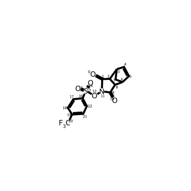 O=C1C2C3C=CC(C3)C2C(=O)N1OS(=O)(=O)c1ccc(C(F)(F)F)cc1